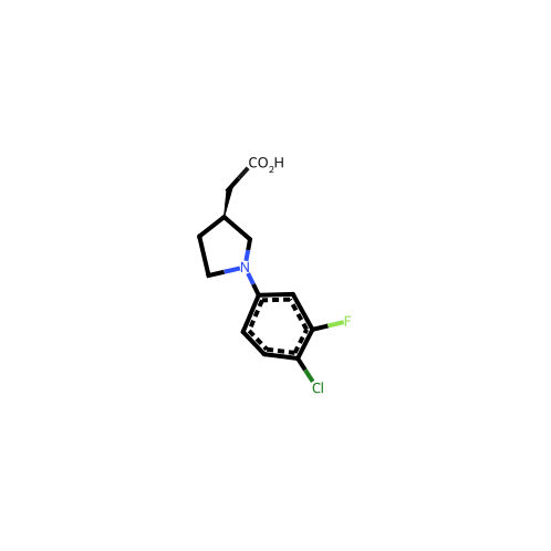 O=C(O)C[C@@H]1CCN(c2ccc(Cl)c(F)c2)C1